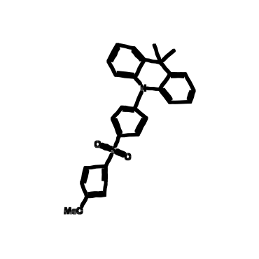 COc1ccc(S(=O)(=O)c2ccc(N3c4ccccc4C(C)(C)c4ccccc43)cc2)cc1